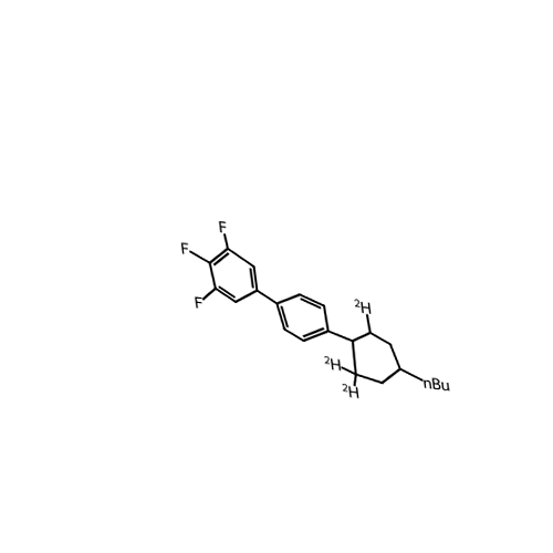 [2H]C1CC(CCCC)CC([2H])([2H])C1c1ccc(-c2cc(F)c(F)c(F)c2)cc1